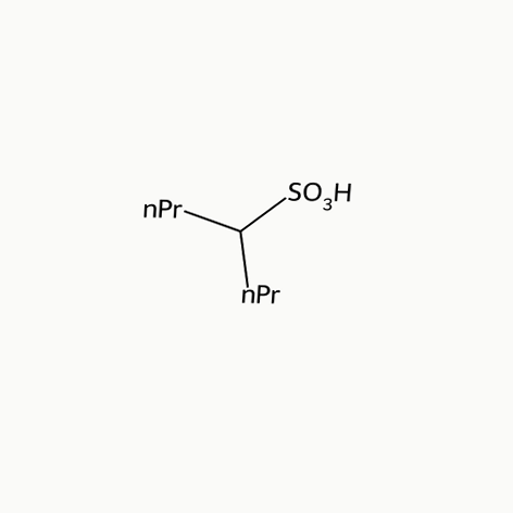 CCCC(CCC)S(=O)(=O)O